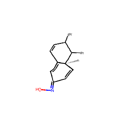 CC(C)C1C=CC2=C/C(=N\O)C=C[C@]2(C)C1C(C)C